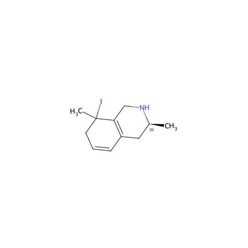 C[C@H]1CC2=C(CN1)C(C)(I)CC=C2